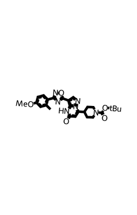 COc1ccc(-c2noc(-c3cnn4c(C5CCN(C(=O)OC(C)(C)C)CC5)cc(=O)[nH]c34)n2)c(C)c1